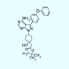 CC(C)(C)OC(=O)CC1(O)CCC(n2nc(-c3ccc(Oc4ccccc4)cc3)c3c(N)ncnc32)CC1